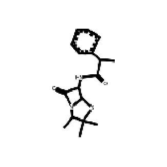 CC(C(=O)NC1C(=O)N2C1SC(C)(C)C2C)c1ccccc1